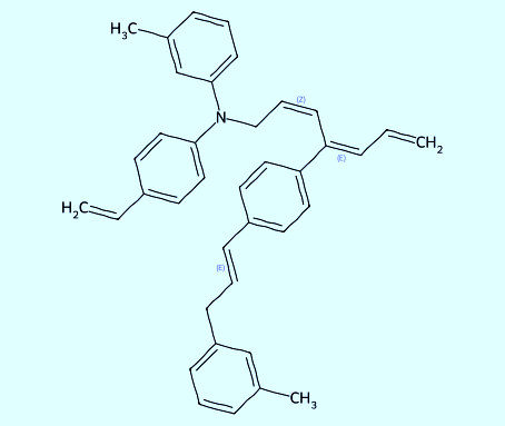 C=C/C=C(\C=C/CN(c1ccc(C=C)cc1)c1cccc(C)c1)c1ccc(/C=C/Cc2cccc(C)c2)cc1